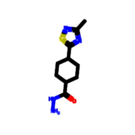 Cc1nsc(C2CCC(C(=O)NN)CC2)n1